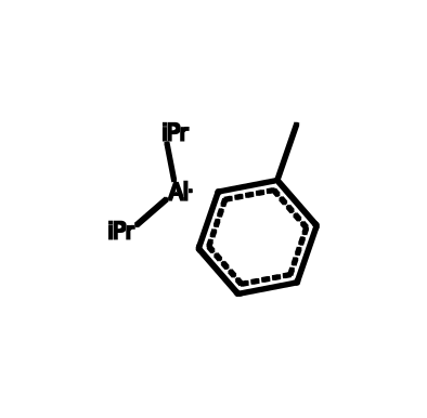 C[CH](C)[Al][CH](C)C.Cc1ccccc1